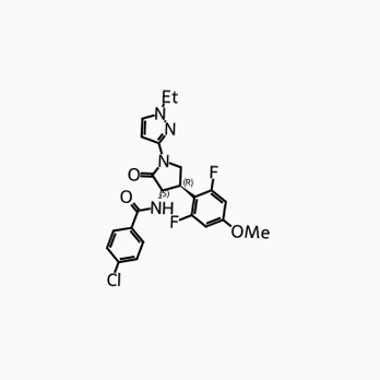 CCn1ccc(N2C[C@@H](c3c(F)cc(OC)cc3F)[C@H](NC(=O)c3ccc(Cl)cc3)C2=O)n1